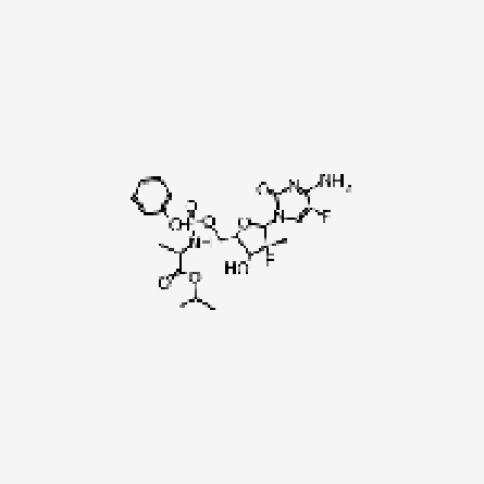 CC(C)OC(=O)[C@@H](C)N[P@@](=O)(OC[C@H]1O[C@@H](n2cc(F)c(N)nc2=O)[C@](C)(F)[C@@H]1O)Oc1ccccc1